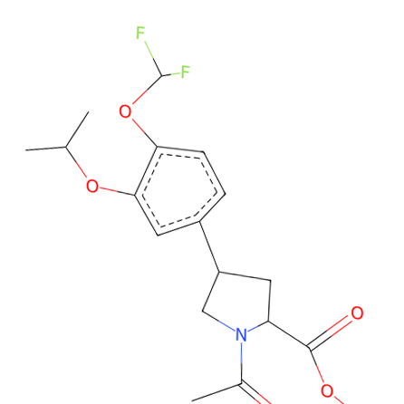 COC(=O)C1CC(c2ccc(OC(F)F)c(OC(C)C)c2)CN1C(C)=O